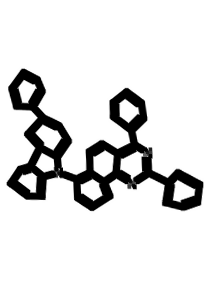 c1ccc(-c2ccc3c(c2)c2ccccc2n3-c2cccc3c2ccc2c(-c4ccccc4)nc(-c4ccccc4)nc23)cc1